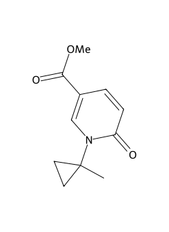 COC(=O)c1ccc(=O)n(C2(C)CC2)c1